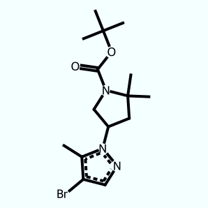 Cc1c(Br)cnn1C1CN(C(=O)OC(C)(C)C)C(C)(C)C1